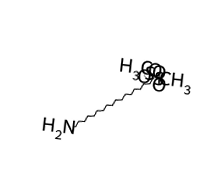 CS(=O)(=O)C(CCCCCCCCCCCCCCCCCN)S(C)(=O)=O